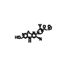 N#Cc1cc(Nc2ccnc(CO)c2)c(C2CC2)nc1N1CCN(C(=O)C[C@H]2CCO2)[C@H](C2CC2)C1